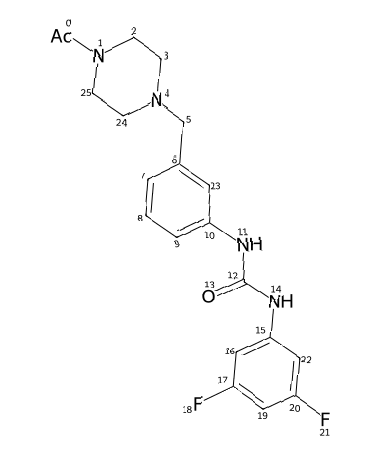 CC(=O)N1CCN(Cc2cccc(NC(=O)Nc3cc(F)cc(F)c3)c2)CC1